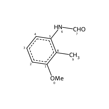 COc1cccc(NC=O)c1C